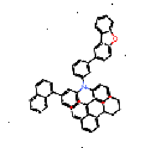 c1cc(-c2ccc3oc4ccccc4c3c2)cc(N(c2cccc(-c3cccc4ccccc34)c2)c2ccccc2-c2cccc3cccc(C4CCCCC4)c23)c1